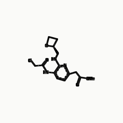 COC(=O)Cc1ccc(NC(=O)CCl)c(NC[C@@H]2CCO2)n1